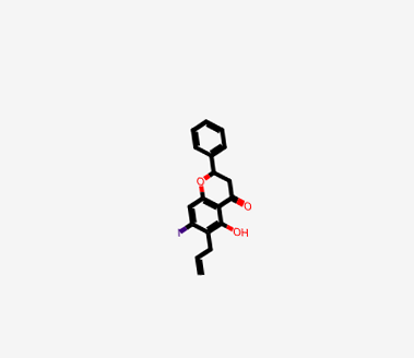 C=CCc1c(I)cc2c(c1O)C(=O)CC(c1ccccc1)O2